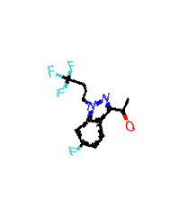 CC(=O)c1nn(CCC(F)(F)F)c2cc(F)ccc12